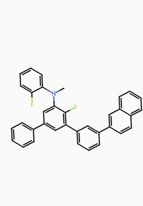 CN(c1ccccc1F)c1cc(-c2ccccc2)cc(-c2cccc(-c3ccc4ccccc4c3)c2)c1F